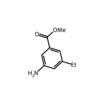 CCc1cc(N)cc(C(=O)OC)c1